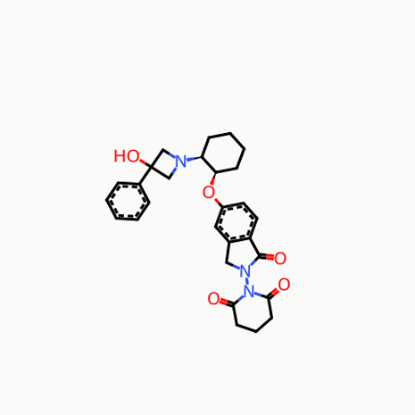 O=C1c2ccc(O[C@@H]3CCCC[C@@H]3N3CC(O)(c4ccccc4)C3)cc2CN1N1C(=O)CCCC1=O